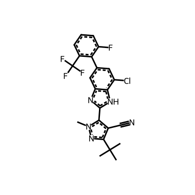 Cn1nc(C(C)(C)C)c(C#N)c1-c1nc2cc(-c3c(F)cccc3C(F)(F)F)cc(Cl)c2[nH]1